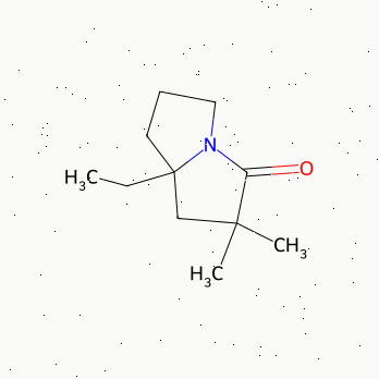 CCC12CCCN1C(=O)C(C)(C)C2